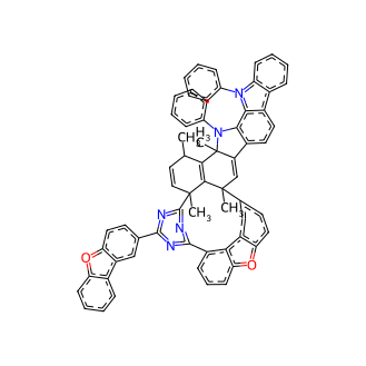 CC1C=CC2(C)C3=C1C1(C)C(=CC3(C)c3ccc4oc5cccc(c5c4c3)-c3nc(-c4ccc5oc6ccccc6c5c4)nc2n3)c2ccc3c4ccccc4n(-c4ccccc4)c3c2N1c1ccccc1